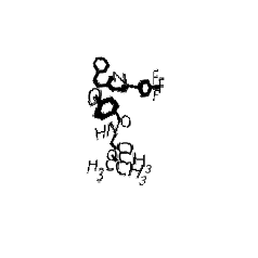 CC(C)(C)OC(=O)CCNC(=O)c1ccc(OC(CC2CCCCC2)c2ccc(-c3ccc(C(F)(F)F)cc3)nc2)cc1